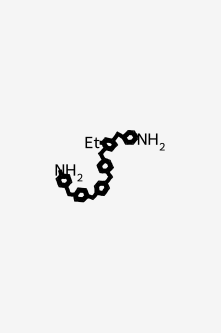 CCc1cc(Cc2ccc(N)cc2)ccc1Cc1ccc(Cc2ccc(Cc3ccc(Cc4ccc(N)cc4)cc3)cc2)cc1